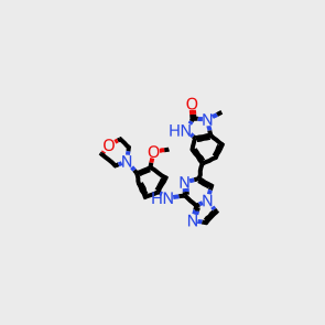 COc1cc(Nc2nc(-c3ccc4c(c3)[nH]c(=O)n4C)cn3ccnc23)ccc1N1CCOCC1